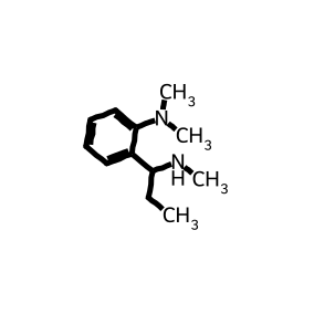 CCC(NC)c1ccccc1N(C)C